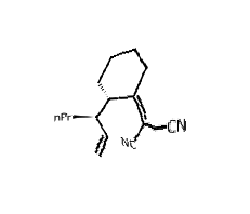 C=C[C@@H](CCC)[C@@H]1CCCCC1=C(C#N)C#N